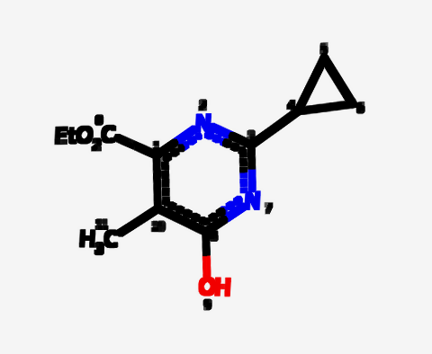 CCOC(=O)c1nc(C2CC2)nc(O)c1C